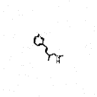 CNCC(C)C=Cc1cccnc1